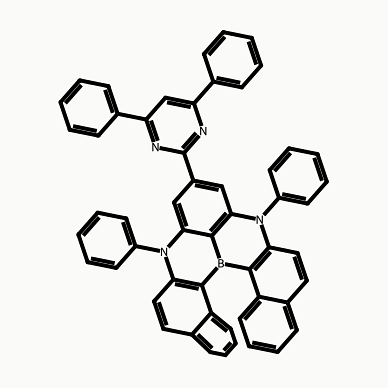 c1ccc(-c2cc(-c3ccccc3)nc(-c3cc4c5c(c3)N(c3ccccc3)c3ccc6ccccc6c3B5c3c(ccc5ccccc35)N4c3ccccc3)n2)cc1